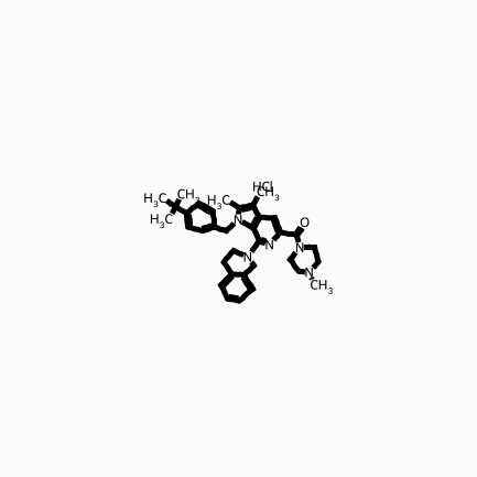 Cc1c(C)n(Cc2ccc(C(C)(C)C)cc2)c2c(N3CCc4ccccc4C3)nc(C(=O)N3CCN(C)CC3)cc12.Cl